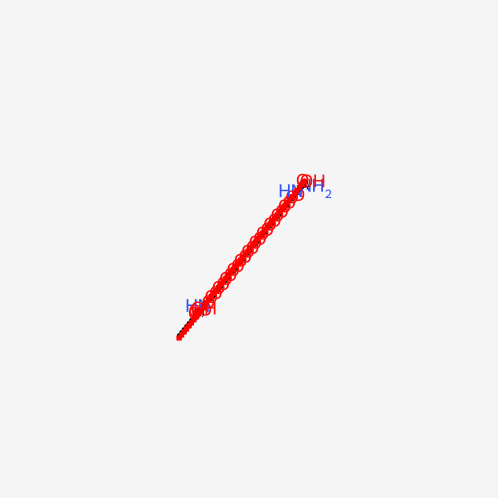 CCCCCCCCCCCCCCCC(=O)C[C@@H](CCC(=O)NCCOCCOCCOCCOCCOCCOCCOCCOCCOCCOCCOCCOCCOCCOCCOCCOCCOCCOCCOCCOCCOCCOCCOCCOCCC(=O)NCCCC[C@H](N)C(=O)O)C(=O)O